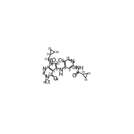 CCn1cnc2c(c(Nc3cc(NC(=O)C4CC4)ncc3C(=O)O)cn2CC2CC2)c1=O